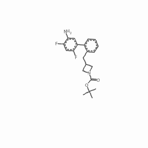 CC(C)(C)OC(=O)N1CC(Cc2ccccc2-c2cc(N)c(F)cc2F)C1